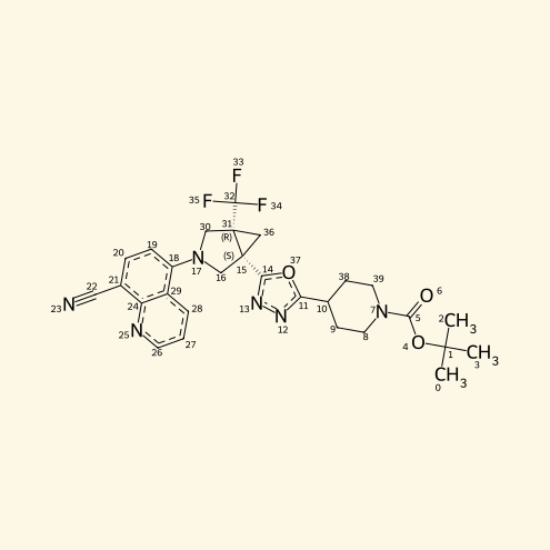 CC(C)(C)OC(=O)N1CCC(c2nnc([C@]34CN(c5ccc(C#N)c6ncccc56)C[C@@]3(C(F)(F)F)C4)o2)CC1